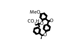 COc1ccc(C(=O)c2ccc(O[C@@H](C)c3ccccc3)cc2)c(OC(C)(C)C(=O)O)c1